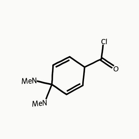 CNC1(NC)C=CC(C(=O)Cl)C=C1